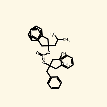 CC(C)CC(Cc1ccccc1)(Cc1ccccc1)O[PH](=O)OC(Cc1ccccc1)(Cc1ccccc1)CC(C)C